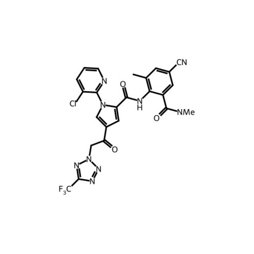 CNC(=O)c1cc(C#N)cc(C)c1NC(=O)c1cc(C(=O)Cn2nnc(C(F)(F)F)n2)cn1-c1ncccc1Cl